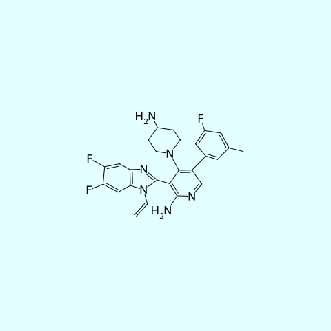 C=Cn1c(-c2c(N)ncc(-c3cc(C)cc(F)c3)c2N2CCC(N)CC2)nc2cc(F)c(F)cc21